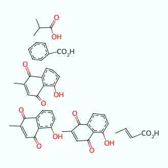 C/C=C/C(=O)O.CC(C)C(=O)O.CC1=CC(=O)c2c(O)cccc2C1=O.CC1=CC(=O)c2c(O)cccc2C1=O.CC1=CC(=O)c2c(O)cccc2C1=O.O=C(O)c1ccccc1